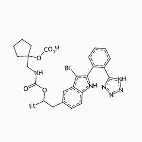 CCC(Cc1ccc2[nH]c(-c3ccccc3-c3nnn[nH]3)c(Br)c2c1)OC(=O)NCC1(OC(=O)O)CCCC1